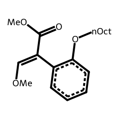 CCCCCCCCOc1ccccc1/C(=C\OC)C(=O)OC